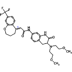 COCCN(CCOC)C1Cc2ccc(NC(=O)/C=C3\CCCOc4cc(C(F)(F)F)ccc43)cc2NC1=O